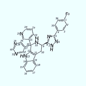 Fc1ccc(-c2n[nH]c([C@H]3Cc4c([nH]c5ccccc45)C(c4cccnc4)(c4cncnc4)N3)n2)cc1